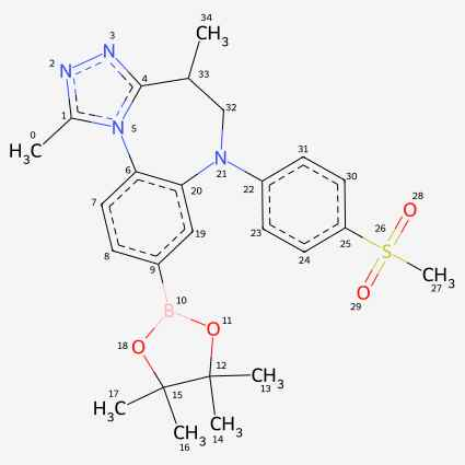 Cc1nnc2n1-c1ccc(B3OC(C)(C)C(C)(C)O3)cc1N(c1ccc(S(C)(=O)=O)cc1)CC2C